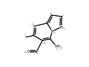 Cc1nc2ccnn2c(N)c1C=O